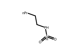 CCCCCP[SH](=O)=O